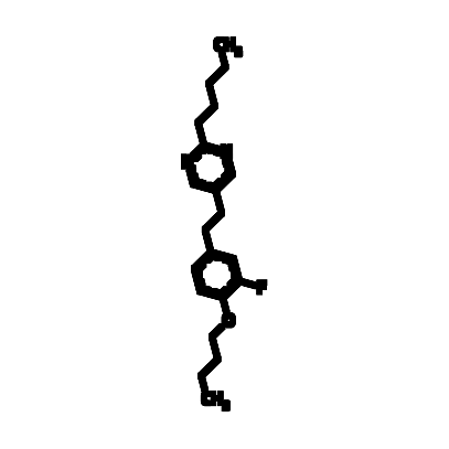 CCCCCc1ncc(CCc2ccc(OCCCC)c(F)c2)cn1